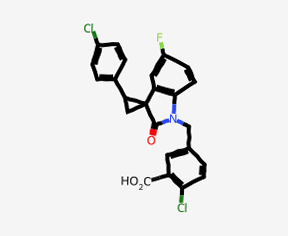 O=C(O)c1cc(CN2C(=O)C3(CC3c3ccc(Cl)cc3)c3cc(F)ccc32)ccc1Cl